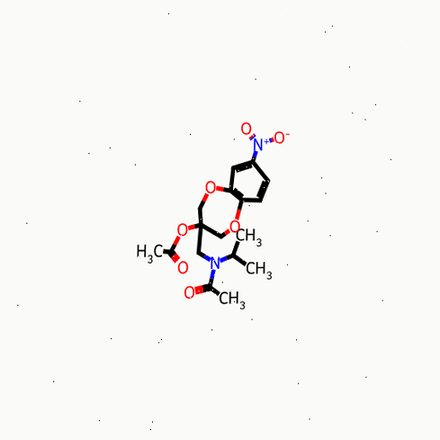 CC(=O)OC1(CN(C(C)=O)C(C)C)COc2ccc([N+](=O)[O-])cc2OC1